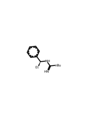 CCCCC(=N)N[C@@H](CC)c1ccccc1